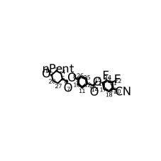 CCCCCOC1CCC(C(=O)Oc2ccc(C(=O)Oc3ccc(C#N)c(F)c3F)cc2)CC1